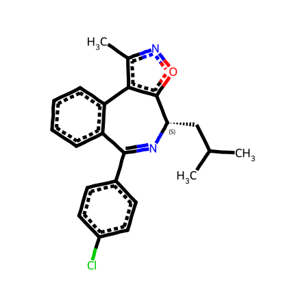 Cc1noc2c1-c1ccccc1C(c1ccc(Cl)cc1)=N[C@H]2CC(C)C